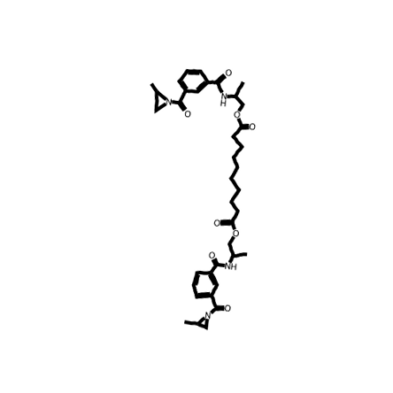 CC(COC(=O)CCCCCCCCC(=O)OCC(C)NC(=O)c1cccc(C(=O)N2CC2C)c1)NC(=O)c1cccc(C(=O)N2CC2C)c1